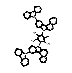 N#Cc1c(C#N)c(-n2c3ccc(-n4c5ccccc5c5ccccc54)cc3c3c4ccccc4ccc32)c(C#N)c(C#N)c1-n1c2ccc(-n3c4ccccc4c4ccccc43)cc2c2c3ccccc3ccc21